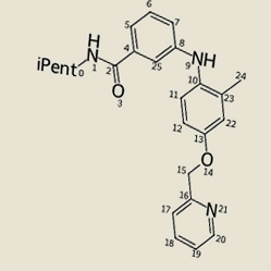 CCCC(C)NC(=O)c1cccc(Nc2ccc(OCc3ccccn3)cc2C)c1